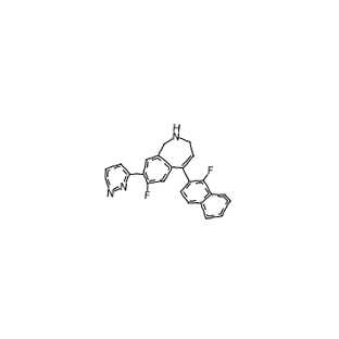 Fc1cc2c(cc1-c1cccnn1)CNCC=C2c1ccc2ccccc2c1F